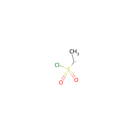 C[CH]S(=O)(=O)Cl